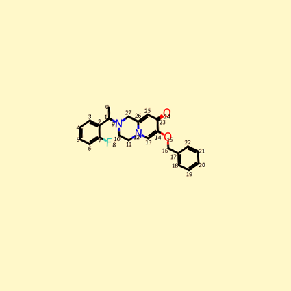 CC(c1ccccc1F)N1CCn2cc(OCc3ccccc3)c(=O)cc2C1